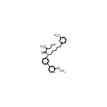 C=C(CCF)C(=O)N(CCCCCc1cccc(C)n1)c1cccc(-c2ccnc(OC)c2)c1